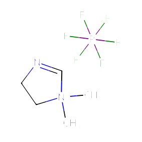 C[N+]1(C)C=NCC1.F[P-](F)(F)(F)(F)F